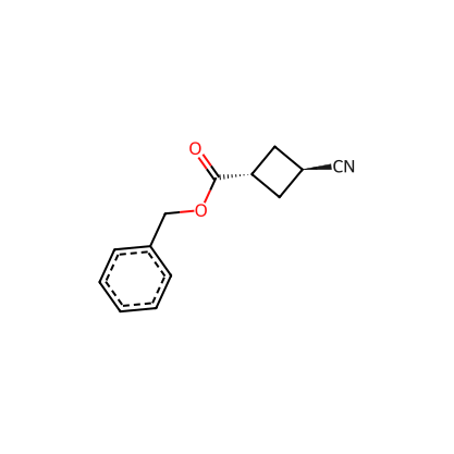 N#C[C@H]1C[C@H](C(=O)OCc2ccccc2)C1